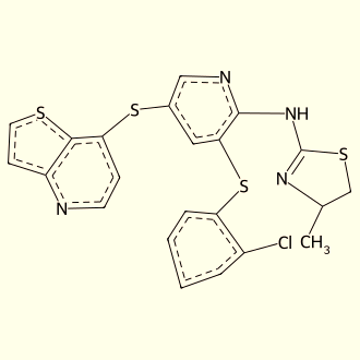 CC1CSC(Nc2ncc(Sc3ccnc4ccsc34)cc2Sc2ccccc2Cl)=N1